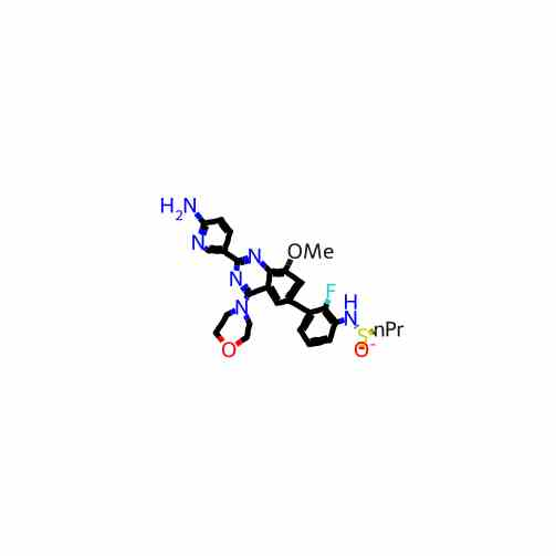 CCC[S+]([O-])Nc1cccc(-c2cc(OC)c3nc(-c4ccc(N)nc4)nc(N4CCOCC4)c3c2)c1F